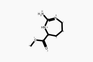 COC(=O)C1CCCN=C(N)N1